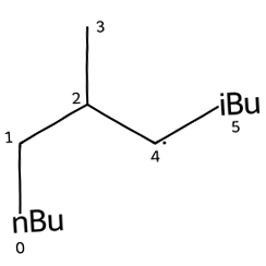 CCCCCC(C)[CH]C(C)CC